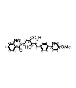 COc1ccc(-c2ccc(CCC(O)C(CCn3nnc4ccccc4c3=O)C(=O)O)cc2)nc1